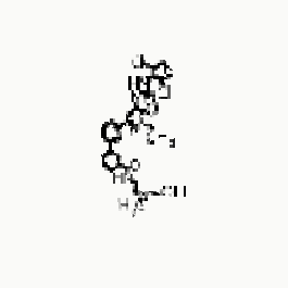 CCn1nc(-c2cccc(-c3cccc(C(=O)NCCN(C)CCO)c3)c2)cc(NC(=O)Nc2c(Cl)cncc2Cl)c1=O